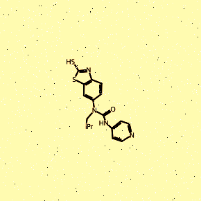 CC(C)CN(C(=O)Nc1ccncc1)c1ccc2nc(S)sc2c1